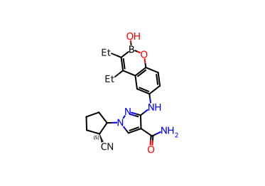 CCC1=C(CC)c2cc(Nc3nn(C4CCC[C@@H]4C#N)cc3C(N)=O)ccc2OB1O